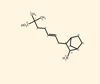 CC(C)(CCC=CCC1C2CCC(C2)C1N)C(=O)O